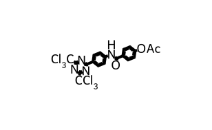 CC(=O)Oc1ccc(C(=O)Nc2ccc(-c3nc(C(Cl)(Cl)Cl)nc(C(Cl)(Cl)Cl)n3)cc2)cc1